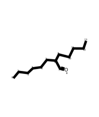 CCCCCCC(C=O)CCCCC